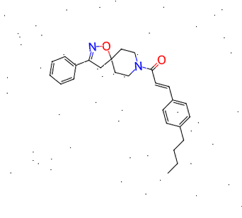 CCCCc1ccc(C=CC(=O)N2CCC3(CC2)CC(c2ccccc2)=NO3)cc1